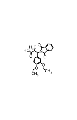 CCOc1ccc(C(C(C)C(=O)O)N2C(=O)c3ccccc3C2=O)cc1OCC